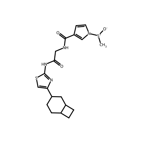 C[S+]([O-])n1ccc(C(=O)NCC(=O)Nc2nc(C3CCC4CCC4C3)cs2)c1